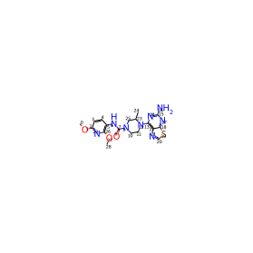 COc1ccc(NC(=O)N2CCN(c3nc(N)nc4scnc34)C(C)C2)c(OC)n1